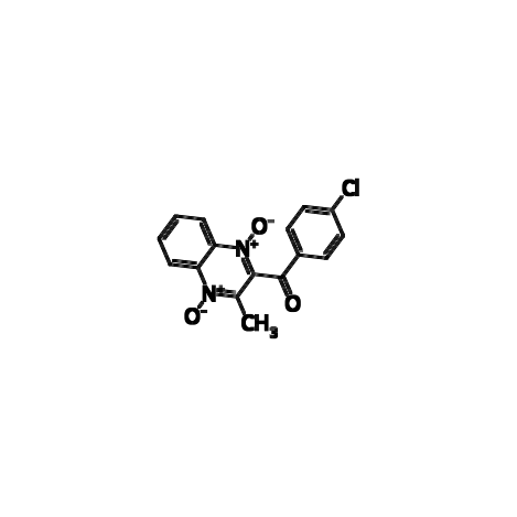 Cc1c(C(=O)c2ccc(Cl)cc2)[n+]([O-])c2ccccc2[n+]1[O-]